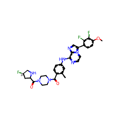 COc1ccc(-c2cnc3c(Nc4ccc(C(=O)N5CCN(C(=O)C6C[C@@H](F)CN6)CC5)c(C)c4)nccn23)c(F)c1F